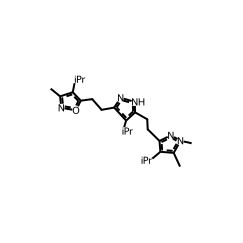 Cc1noc(CCc2n[nH]c(CCc3nn(C)c(C)c3C(C)C)c2C(C)C)c1C(C)C